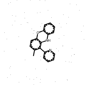 Cc1ccc2c(c1-c1ccccn1)Nc1ccccc1O2